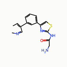 C/C=C(\C=N/C)c1cccc(-c2csc(NC(=O)CN)n2)c1